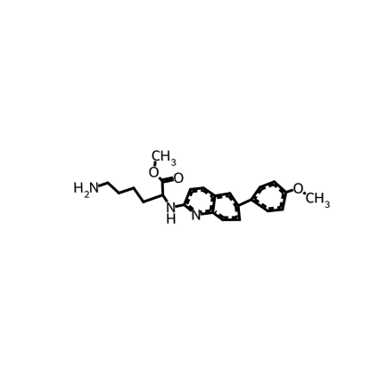 COC(=O)C(CCCCN)Nc1ccc2cc(-c3ccc(OC)cc3)ccc2n1